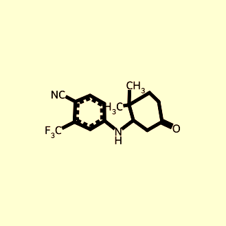 CC1(C)CCC(=O)CC1Nc1ccc(C#N)c(C(F)(F)F)c1